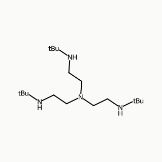 CC(C)(C)NCCN(CCNC(C)(C)C)CCNC(C)(C)C